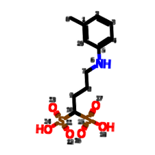 Cc1cccc(NCCCC(S(=O)(=O)O)S(=O)(=O)O)c1